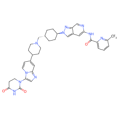 O=C1CCN(c2cnc3cc(C4CCN(C[C@H]5CC[C@H](n6cc7cc(NC(=O)c8cccc(C(F)(F)F)n8)ncc7n6)CC5)CC4)ccn23)C(=O)N1